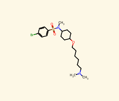 CN(C)CCCCCCOC1CCC(N(C)S(=O)(=O)c2ccc(Br)cc2)CC1